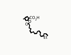 CC/C=C\C/C=C\C/C=C\C/C=C\C/C=C\CCCC(=O)Oc1cc(C)ccc1C(=O)O